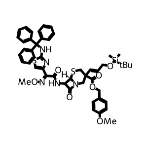 CON=C(C(=O)NC1C(=O)N2CC(C=CCO[Si](C)(C)C(C)(C)C)(C(=O)OCc3ccc(OC)cc3)CS[C@H]12)c1csc(NC(c2ccccc2)(c2ccccc2)c2ccccc2)n1